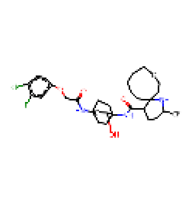 O=C(COc1ccc(Cl)c(F)c1)NC12CCC(NC(=O)C3CCC(C(F)(F)F)NC34CCCCCCCC4)(CC1)C(O)C2